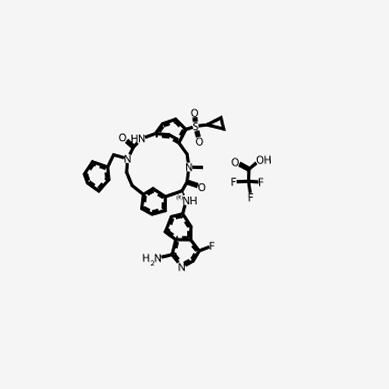 CN1Cc2cc(ccc2S(=O)(=O)C2CC2)NC(=O)N(Cc2ccccc2)CCc2cccc(c2)[C@@H](Nc2ccc3c(N)ncc(F)c3c2)C1=O.O=C(O)C(F)(F)F